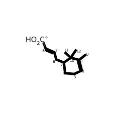 CC1=CCCC(CC=CC(=O)O)C1(C)C